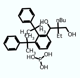 CCCCC(CC)(CO)C(O)c1cccc(C(C)(C)c2ccccc2)c1C(C)(C)c1ccccc1.OP(O)O